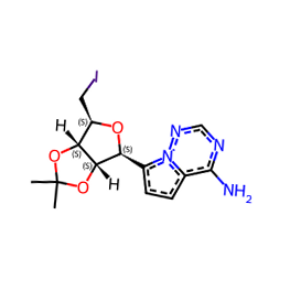 CC1(C)O[C@@H]2[C@H](O1)[C@@H](CI)O[C@H]2c1ccc2c(N)ncnn12